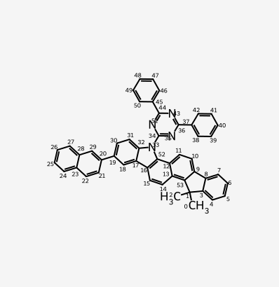 CC1(C)c2ccccc2-c2ccc3c(ccc4c5cc(-c6ccc7ccccc7c6)ccc5n(-c5nc(-c6ccccc6)nc(-c6ccccc6)n5)c34)c21